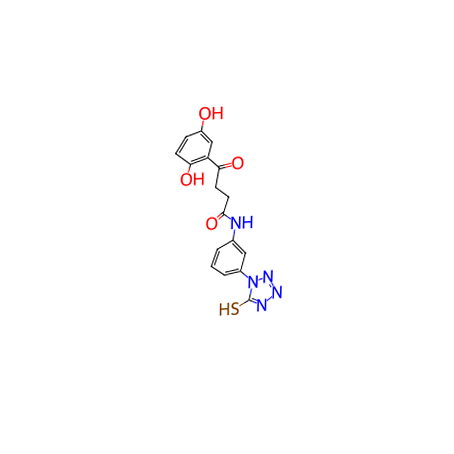 O=C(CCC(=O)c1cc(O)ccc1O)Nc1cccc(-n2nnnc2S)c1